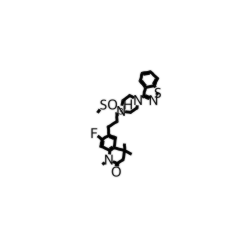 CN1C(=O)CC(C)(C)c2cc(CCCN3CCN(c4nsc5ccccc45)CC3)c(F)cc21.CS(=O)(=O)O